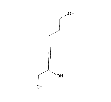 CCC(O)C#CCCCO